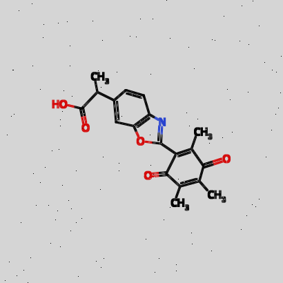 CC1=C(C)C(=O)C(c2nc3ccc(C(C)C(=O)O)cc3o2)=C(C)C1=O